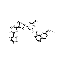 COc1ccc2nccc(CC[C@H](CC[C@H]3CN(C4=COC=C(C5=CC=CCC5)O4)C(=O)O3)NC(C)=O)c2n1